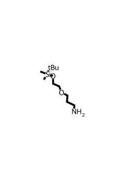 CC(C)(C)[Si](C)(C)OCCOCCCN